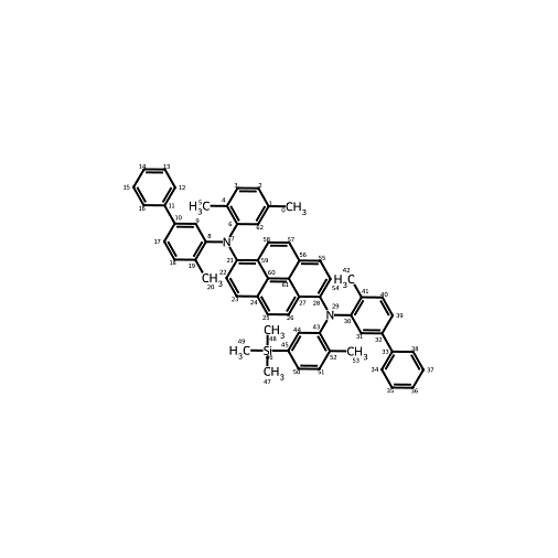 Cc1ccc(C)c(N(c2cc(-c3ccccc3)ccc2C)c2ccc3ccc4c(N(c5cc(-c6ccccc6)ccc5C)c5cc([Si](C)(C)C)ccc5C)ccc5ccc2c3c54)c1